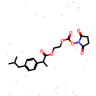 CC(C)Cc1ccc(C(C)C(=O)OCCOC(=O)ON2C(=O)CCC2=O)cc1